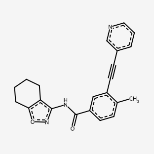 Cc1ccc(C(=O)Nc2noc3c2CCCC3)cc1C#Cc1cccnc1